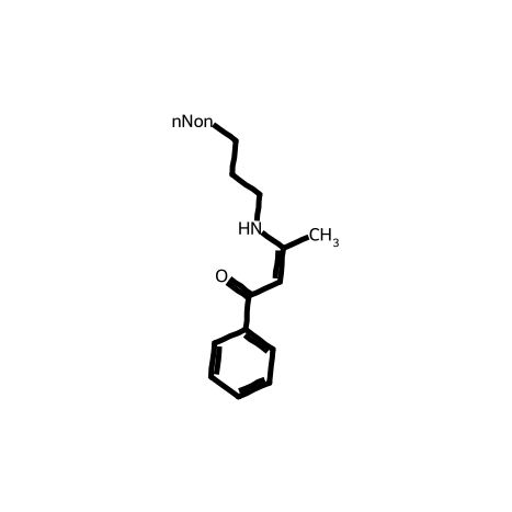 CCCCCCCCCCCCNC(C)=CC(=O)c1ccccc1